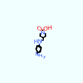 Nc1ccc(NCC2CCN(C(=O)O)CC2)cc1